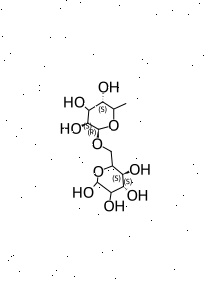 CC1O[C@@H](OCC2OC(O)C(O)[C@@H](O)[C@@H]2O)[C@@H](O)C(O)[C@@H]1O